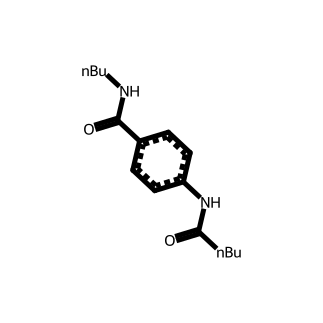 CCCCNC(=O)c1ccc(NC(=O)CCCC)cc1